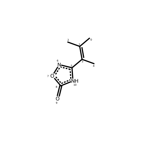 CC(C)=C(C)c1noc(=O)[nH]1